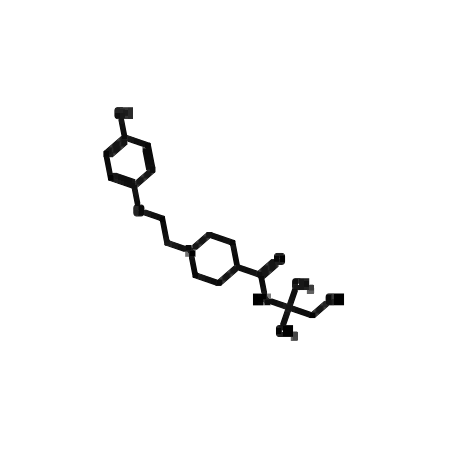 CC(C)(CO)NC(=O)C1CCN(CCOc2ccc(O)cc2)CC1